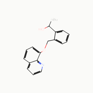 CCCCC(O)c1ccccc1COc1cccc2cccnc12